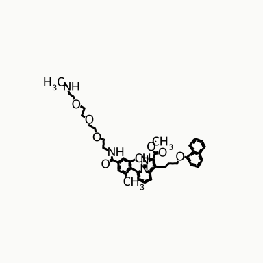 CNCCOCCOCCOCCNC(=O)c1cc(C)c(-c2cccc3c(CCCOc4cccc5ccccc45)c(C(=O)OC)nn23)c(C)c1